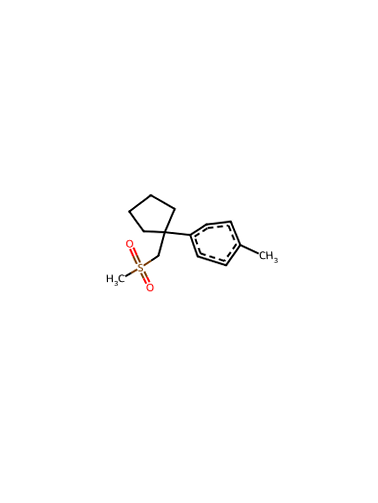 Cc1ccc(C2(CS(C)(=O)=O)CCCC2)cc1